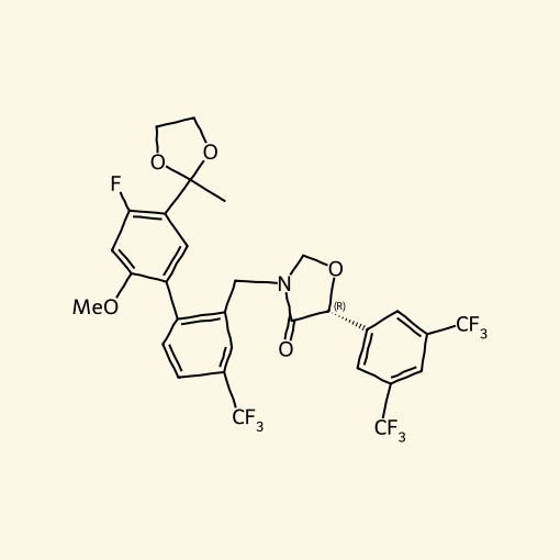 COc1cc(F)c(C2(C)OCCO2)cc1-c1ccc(C(F)(F)F)cc1CN1CO[C@H](c2cc(C(F)(F)F)cc(C(F)(F)F)c2)C1=O